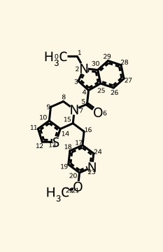 CCn1cc(C(=O)N2CCc3ccsc3C2Cc2ccc(OC)nc2)c2ccccc21